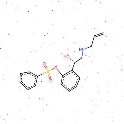 C=CCNC[C@@H](O)c1ccccc1OS(=O)(=O)c1ccccc1